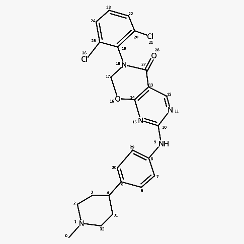 CN1CCC(c2ccc(Nc3ncc4c(n3)OCN(c3c(Cl)cccc3Cl)C4=O)cc2)CC1